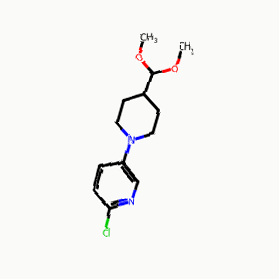 COC(OC)C1CCN(c2ccc(Cl)nc2)CC1